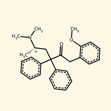 COc1ccccc1CC(=O)C(C[C@H](C)N(C)C)(c1ccccc1)c1ccccc1